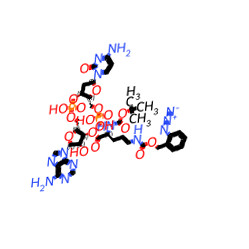 CC(C)(C)OC(=O)N[C@@H](CCCNC(=O)OCc1ccccc1N=[N+]=[N-])C(=O)O[C@H]1[C@@H](O)[C@H](n2cnc3c(N)ncnc32)O[C@@H]1COP(=O)(O)O[C@H]1C[C@H](n2ccc(N)nc2=O)O[C@@H]1COP(=O)(O)O